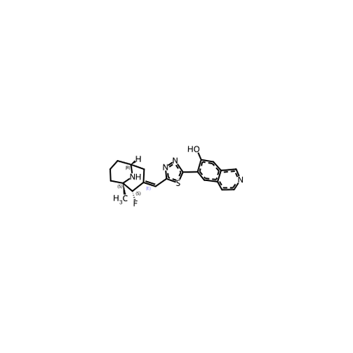 C[C@]12CCC[C@H](C/C(=C\c3nnc(-c4cc5ccncc5cc4O)s3)[C@@H]1F)N2